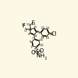 NS(=O)(=O)c1ccc(C2=CC(CF)(CF)C=C2c2ccc(Cl)cc2)cc1